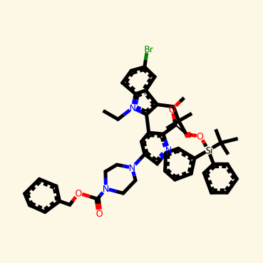 CCn1c(-c2cc(N3CCN(C(=O)OCc4ccccc4)CC3)cnc2[C@H](C)OC)c(CC(C)(C)CO[Si](c2ccccc2)(c2ccccc2)C(C)(C)C)c2cc(Br)ccc21